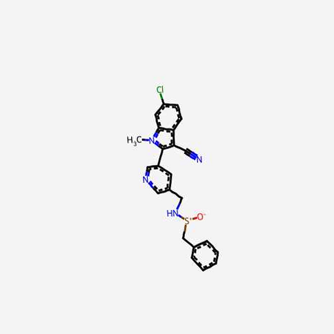 Cn1c(-c2cncc(CN[S+]([O-])Cc3ccccc3)c2)c(C#N)c2ccc(Cl)cc21